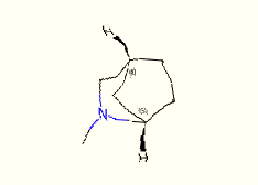 CN1C[C@@H]2CC[C@H]1C2